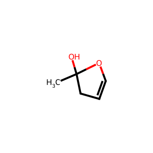 CC1(O)CC=CO1